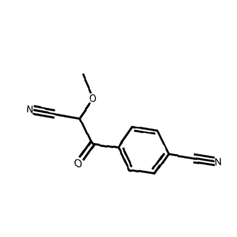 COC(C#N)C(=O)c1ccc(C#N)cc1